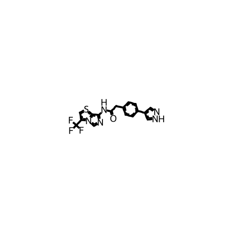 O=C(Cc1ccc(-c2cn[nH]c2)cc1)Nc1ncn2c(C(F)(F)F)csc12